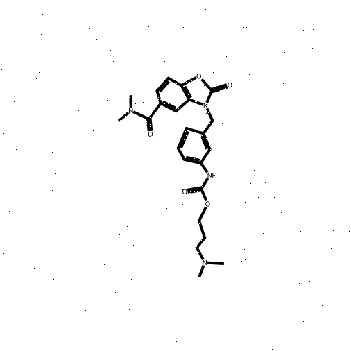 CN(C)CCCOC(=O)Nc1cccc(Cn2c(=O)oc3ccc(C(=O)N(C)C)cc32)c1